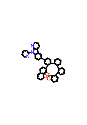 O=S1(=O)c2ccccc2-c2ccccc2-c2ccccc2-c2ccc(-c3ccc4c(c3)c3cccnc3n4-c3ccccn3)cc2-c2ccc3ccccc3c21